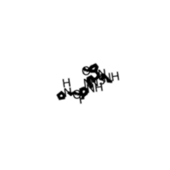 CCNc1nc(-c2cccc(OC)c2)c(-c2ccnc(Nc3ccc(OCCNC4CCCC4)c(F)c3)n2)s1